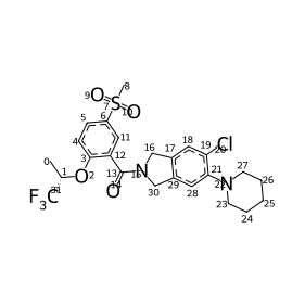 C[C@H](Oc1ccc(S(C)(=O)=O)cc1C(=O)N1Cc2cc(Cl)c(N3CCCCC3)cc2C1)C(F)(F)F